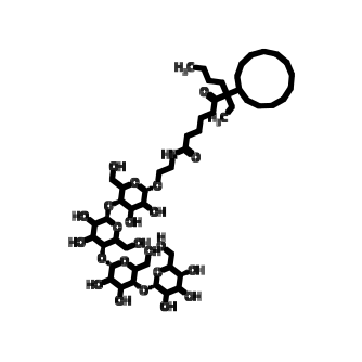 CCCCC(CC)(C(=O)CCCCC(=O)NCCO[C@H]1OC(CO)[C@H](O[C@H]2OC(CO)[C@@H](O[C@@H]3OC(CO)[C@@H](O[C@@H]4OC(CO)[C@@H](O)C(O)C4O)C(O)C3O)C(O)C2O)C(O)C1O)C1CCCCCCCCCCCC1